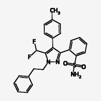 Cc1ccc(-c2c(-c3ccccc3S(N)(=O)=O)nn(CCc3ccccc3)c2C(F)F)cc1